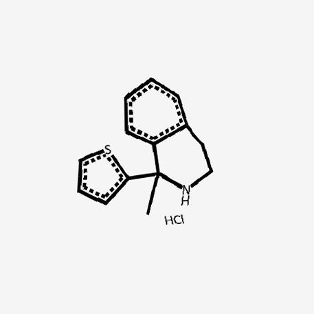 CC1(c2cccs2)NCCc2ccccc21.Cl